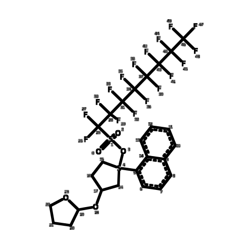 O=S(=O)(OS1(c2cccc3ccccc23)CCC(OC2CCCO2)C1)C(F)(F)C(F)(F)C(F)(F)C(F)(F)C(F)(F)C(F)(F)C(F)(F)C(F)(F)F